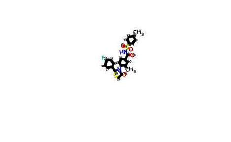 Cc1ccc(S(=O)(=O)NC(=O)c2ccc(N3C(=O)CSC3c3ccc(F)cc3)c(C)c2)cc1